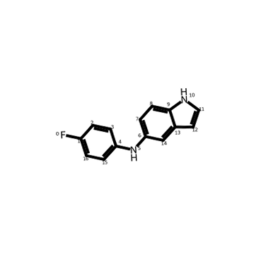 Fc1ccc(Nc2ccc3[nH]ccc3c2)cc1